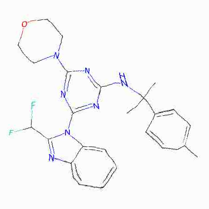 Cc1ccc(C(C)(C)Nc2nc(N3CCOCC3)nc(-n3c(C(F)F)nc4ccccc43)n2)cc1